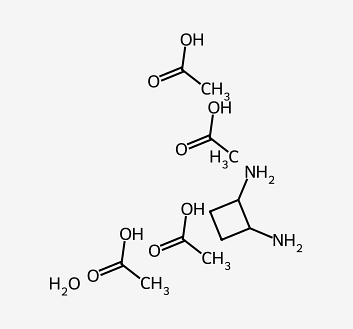 CC(=O)O.CC(=O)O.CC(=O)O.CC(=O)O.NC1CCC1N.O